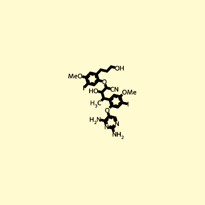 COc1cc(CCCO)c(OC(C#N)C(O)C(C)c2cc(OC)c(I)cc2Oc2cnc(N)nc2N)cc1I